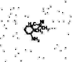 C[Si](C)(C)[Ni].Nc1ccccn1